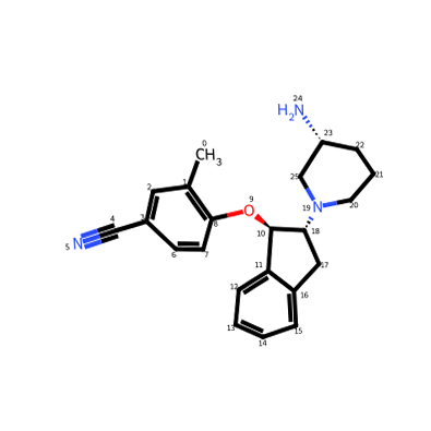 Cc1cc(C#N)ccc1O[C@@H]1c2ccccc2C[C@H]1N1CCC[C@@H](N)C1